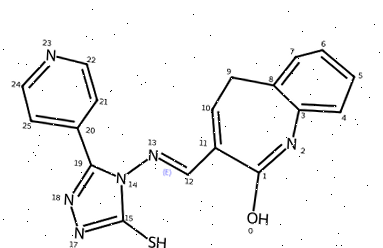 OC1=Nc2ccccc2CC=C1/C=N/n1c(S)nnc1-c1ccncc1